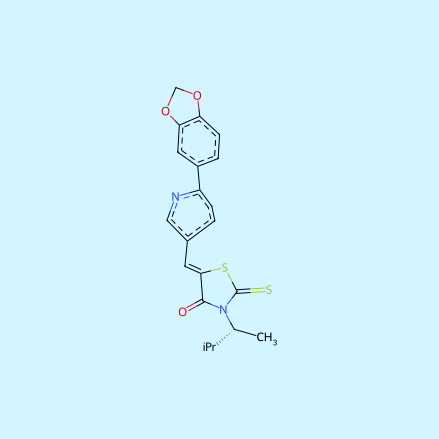 CC(C)[C@@H](C)N1C(=O)/C(=C/c2ccc(-c3ccc4c(c3)OCO4)nc2)SC1=S